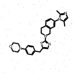 Cc1cnc(C)n1-c1ccc2c(c1)CN(c1ncc(Cc3ccc(N4CCOCC4)cc3)s1)CC2